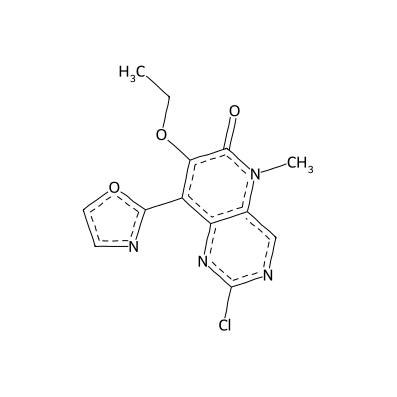 CCOc1c(-c2ncco2)c2nc(Cl)ncc2n(C)c1=O